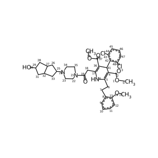 COC(=O)C1=C(CCc2ccccc2OC)NC(CC(=O)N2CCN(C3CC4CC(O)CC4C3)CC2)=C(C(=O)OC)C1c1c(Cl)cccc1Cl